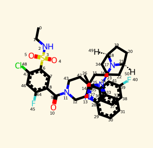 CCNS(=O)(=O)c1cc(C(=O)N2CCC(CCN3[C@@H]4CC[C@H]3C[C@@H](n3c(C)nc5ccccc53)C4)(c3cccc(F)c3)CC2)c(F)cc1Cl